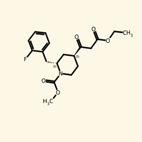 CCOC(=O)CC(=O)[C@H]1CCN(C(=O)OC)[C@H](Cc2ccccc2F)C1